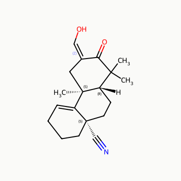 CC1(C)C(=O)/C(=C\O)C[C@]2(C)C3=CCCC[C@]3(C#N)CC[C@@H]12